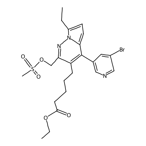 CCOC(=O)CCCCc1c(COS(C)(=O)=O)nn2c(CC)ccc2c1-c1cncc(Br)c1